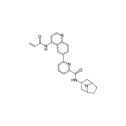 C=CC(=O)Nc1ccnc2ccc(-c3cccc(C(=O)NC4CC5CCC(C4)N5C)n3)cc12